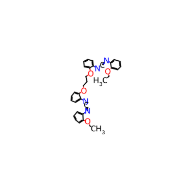 CCOc1ccccc1N=C=Nc1ccccc1OCCCOc1ccccc1N=C=Nc1ccccc1OCC